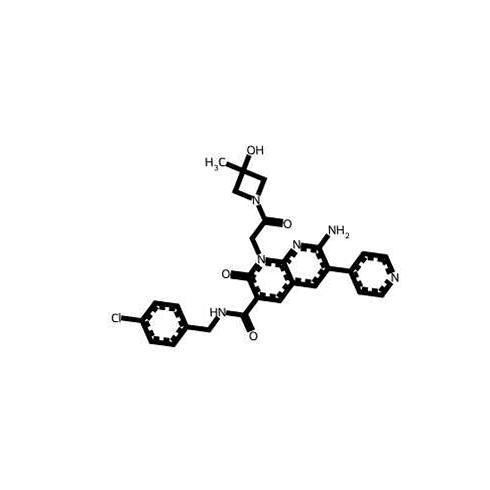 CC1(O)CN(C(=O)Cn2c(=O)c(C(=O)NCc3ccc(Cl)cc3)cc3cc(-c4ccncc4)c(N)nc32)C1